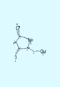 O=c1[nH]c(=O)n(CO)[nH]1